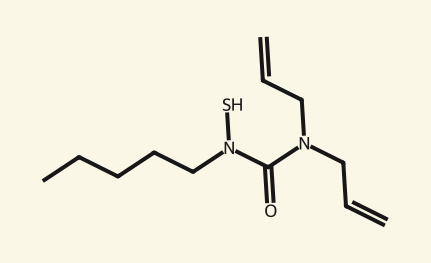 C=CCN(CC=C)C(=O)N(S)CCCCC